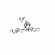 CCCOC(=O)N1CCc2c([nH]c3ccc(Cl)cc23)C1c1ccc(OCCOC)cc1